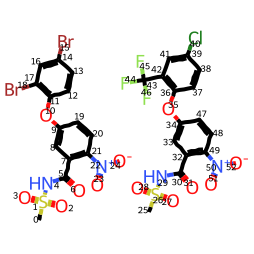 CS(=O)(=O)NC(=O)c1cc(Oc2ccc(Br)cc2Br)ccc1[N+](=O)[O-].CS(=O)(=O)NC(=O)c1cc(Oc2ccc(Cl)cc2C(F)(F)F)ccc1[N+](=O)[O-]